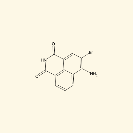 Nc1c(Br)cc2c3c(cccc13)C(=O)NC2=O